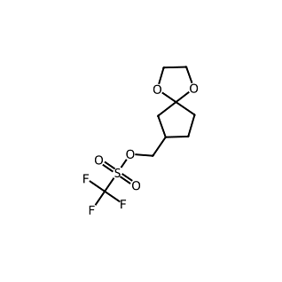 O=S(=O)(OCC1CCC2(C1)OCCO2)C(F)(F)F